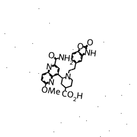 COc1ccc2nc(C(N)=O)cc(C3CC(C(=O)O)CCN3CCc3ccc4oc(=O)[nH]c4c3)c2n1